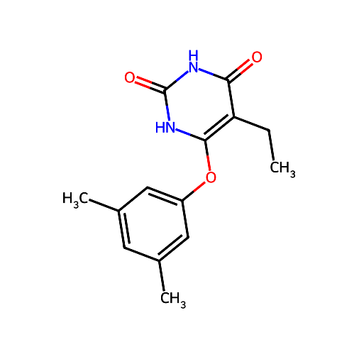 CCc1c(Oc2cc(C)cc(C)c2)[nH]c(=O)[nH]c1=O